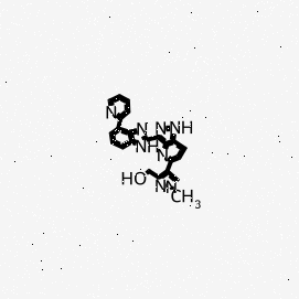 Cn1cc(-c2ccc3[nH]nc(-c4nc5c(-c6ccccn6)cccc5[nH]4)c3n2)c(CO)n1